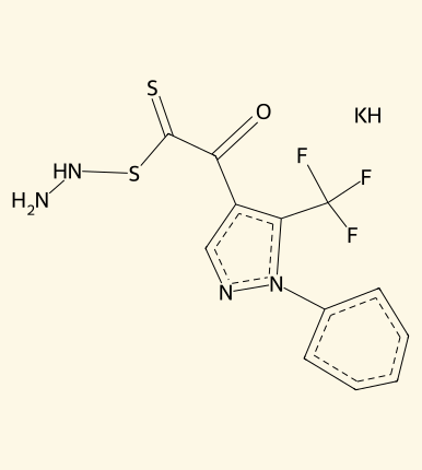 NNSC(=S)C(=O)c1cnn(-c2ccccc2)c1C(F)(F)F.[KH]